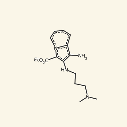 CCOC(=O)c1c(NCCCN(C)C)c(N)c2ccccn12